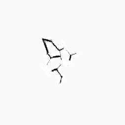 CCC(=O)Oc1c(Cl)cccc1NC(C)=O